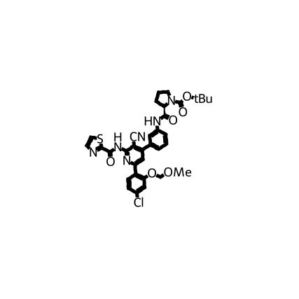 COCOc1cc(Cl)ccc1-c1cc(-c2cccc(NC(=O)[C@H]3CCCN3C(=O)OC(C)(C)C)c2)c(C#N)c(NC(=O)c2nccs2)n1